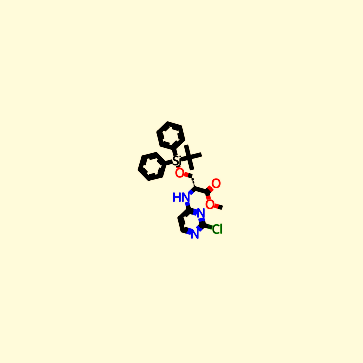 COC(=O)[C@@H](CO[Si](c1ccccc1)(c1ccccc1)C(C)(C)C)Nc1ccnc(Cl)n1